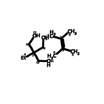 CC(C)=C(C)C.CCC(CO)(CO)CO